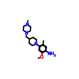 COc1cc(N2CCC(CN3CCN(C)CC3)CC2)c(C)cc1N